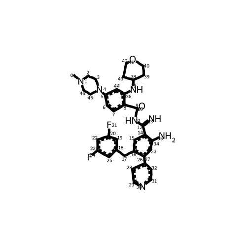 CN1CCN(c2ccc(C(=O)NC(=N)c3cc(Cc4cc(F)cc(F)c4)c(-c4ccncc4)cc3N)c(NC3CCOCC3)c2)CC1